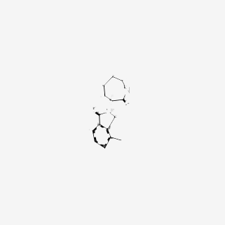 Cc1cccc2c1CN([C@@H]1CCCCNC1=O)C2=O